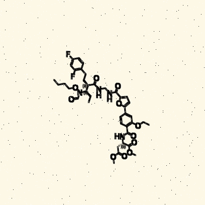 CCCCON(C=O)[C@H](CC)[C@@H](CCc1ccc(F)cc1F)C(=O)NCNC(=O)c1ccc(-c2ccc(C(=O)N[C@@H](CC(=O)OC)C(=O)OC)c(OCC)c2)o1